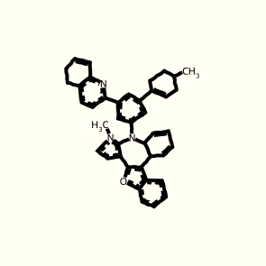 CC1CC=C(c2cc(-c3ccc4c(n3)C=CCC4)cc(N3c4c(ccn4C)-c4oc5ccccc5c4C4C=CC=CC43)c2)CC1